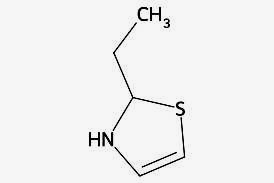 CCC1NC=CS1